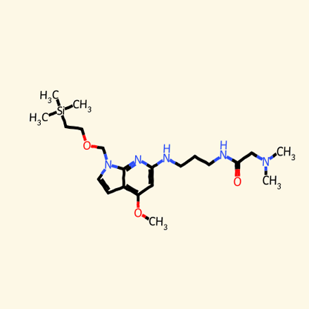 COc1cc(NCCCNC(=O)CN(C)C)nc2c1ccn2COCC[Si](C)(C)C